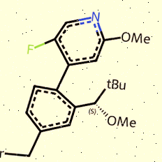 COc1cc(-c2ccc(CC(C)C)cc2[C@@H](OC)C(C)(C)C)c(F)cn1